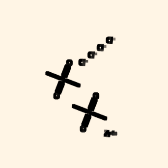 CS(C)(=O)=O.CS(C)(=O)=O.[Cl-].[Cl-].[Cl-].[Cl-].[Zr+4]